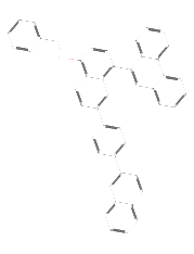 c1ccc(COc2ccc(-c3cc4ccccc4c4ccccc34)c3cc(-c4ccc(-c5ccc6ccccc6c5)cc4)ccc23)cc1